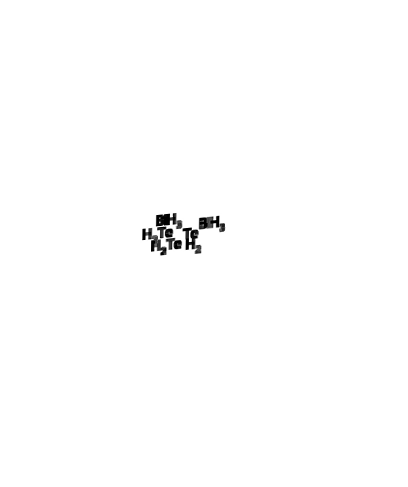 [BiH3].[BiH3].[TeH2].[TeH2].[TeH2]